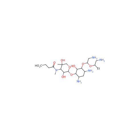 CCC(CN)OC(CN)OC1C(N)CC(N)C(OC2OCC(C)(O)C(N(C)C(=O)CCC(=O)O)C2O)C1O